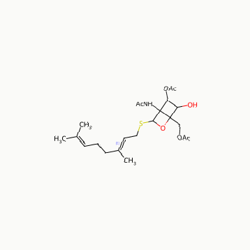 CC(=O)NC12C(SC/C=C(\C)CCC=C(C)C)OC1(COC(C)=O)C(O)C2OC(C)=O